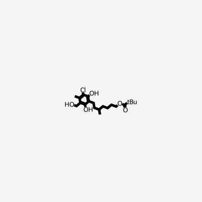 Cc1c(Cl)c(O)c(CCC(C)CCCCOC(=O)C(C)(C)C)c(O)c1CO